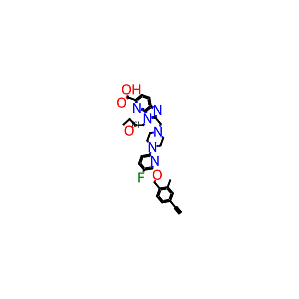 C#Cc1ccc(COc2nc(N3CCN(Cc4nc5ccc(C(=O)O)nc5n4C[C@@H]4CCO4)CC3)ccc2F)c(C)c1